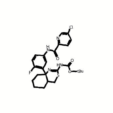 CC(C)(C)OC(=O)NC1=NC2(c3cc(NC(=O)c4ccc(Cl)cn4)ccc3F)CCCCC2CS1